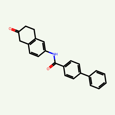 O=C1CCc2cc(NC(=O)c3ccc(-c4ccccc4)cc3)ccc2C1